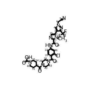 Cn1c(-c2cn(CC#N)nc2C(F)(F)F)cnc1C(=O)Nc1ccc(C(=O)N2CCN(C(=O)C3CCN(C(=O)O)CC3)CC2)c(Cl)c1